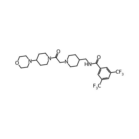 O=C(NCC1CCN(CC(=O)N2CCC(N3CCOCC3)CC2)CC1)c1cc(C(F)(F)F)cc(C(F)(F)F)c1